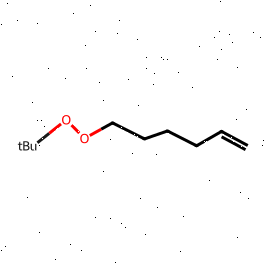 C=CCCCCOOC(C)(C)C